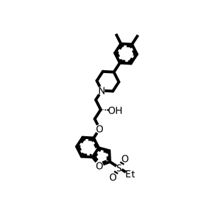 CCS(=O)(=O)c1cc2c(OC[C@@H](O)CN3CCC(c4ccc(C)c(C)c4)CC3)cccc2o1